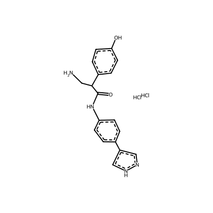 Cl.Cl.NCC(C(=O)Nc1ccc(-c2cn[nH]c2)cc1)c1ccc(O)cc1